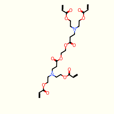 C=CC(=O)OCCN(CCOC(=O)C=C)CCC(=O)OCCOC(=O)CCN(CCOC(=O)C=C)CCOC(=O)C=C